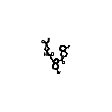 C=CC(=O)N1CC(NC(=O)Cn2cc(C(=O)N3CCc4c(F)cccc4C3)c3cc(Br)ccc32)C1